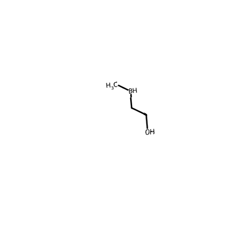 CBCCO